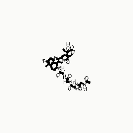 CC[C@@]1(O)C(=O)OCc2c1cc1n(c2=O)Cc2c-1nc1cc(F)c(C)c3c1c2[C@@H](NC(=O)CNC(=O)CNC(=O)[C@H](C)NC(=O)CNC(C)=O)CC3